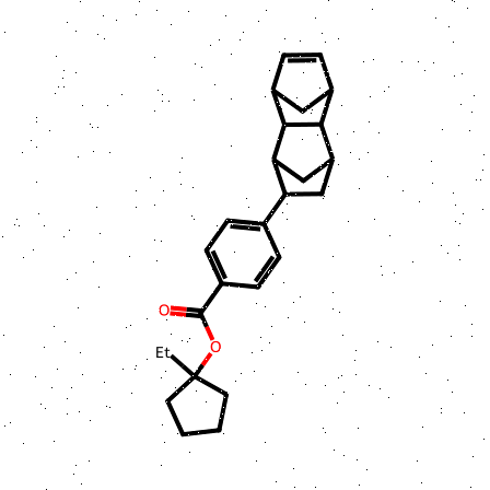 CCC1(OC(=O)c2ccc(C3CC4CC3C3C5C=CC(C5)C43)cc2)CCCC1